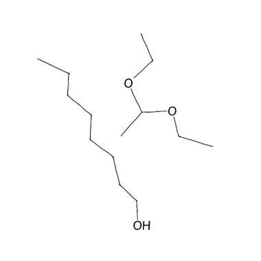 CCCCCCCCO.CCOC(C)OCC